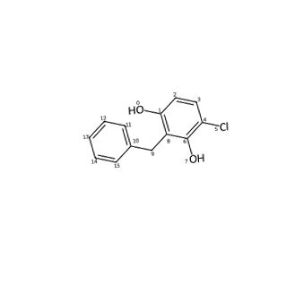 Oc1ccc(Cl)c(O)c1Cc1ccccc1